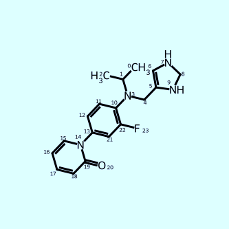 CC(C)N(CC1=CNCN1)c1ccc(-n2ccccc2=O)cc1F